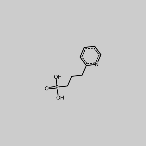 O=P(O)(O)CCCc1ccccn1